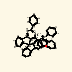 C=P(c1ccccc1)(c1ccccc1)c1ccc2c(c1)C1(c3ccccc3-2)c2ccccc2-c2nc(-c3ccccc3)nc(-c3ccccc3)c21